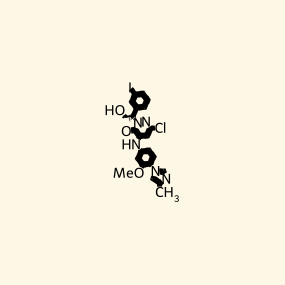 COc1cc(Nc2cc(Cl)nn([C@@H](CO)c3cccc(I)c3)c2=O)ccc1-n1cnc(C)c1